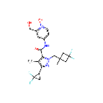 CC1(Cn2nc(C3CC3(F)F)c(C(F)(F)F)c2C(=O)Nc2cc[n+](O)c(CO)c2)CC(F)(F)C1